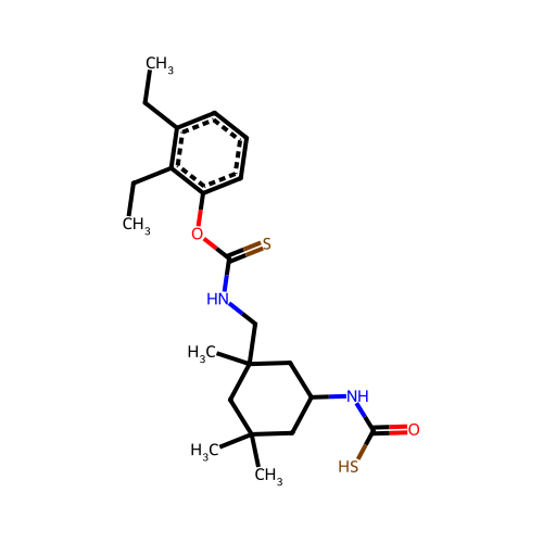 CCc1cccc(OC(=S)NCC2(C)CC(NC(=O)S)CC(C)(C)C2)c1CC